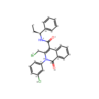 CC[C@H](NC(=O)c1c(CBr)n(-c2cccc(Cl)c2)c(=O)c2ccccc12)c1ccccc1